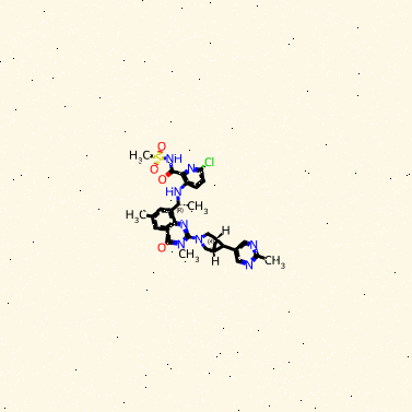 Cc1cc([C@@H](C)Nc2ccc(Cl)nc2C(=O)NS(C)(=O)=O)c2nc(N3C[C@@H]4C(c5cnc(C)nc5)[C@@H]4C3)n(C)c(=O)c2c1